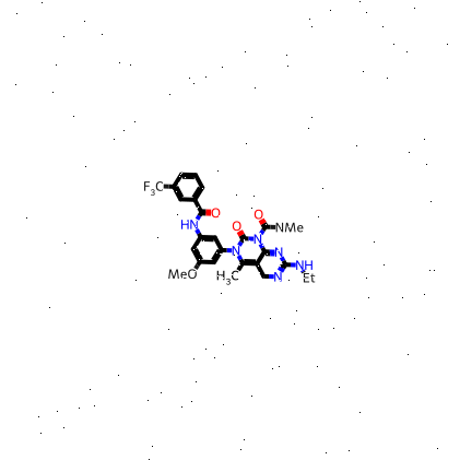 CCNC1=NCC2=C(C)N(c3cc(NC(=O)c4cccc(C(F)(F)F)c4)cc(OC)c3)C(=O)N(C(=O)NC)C2=N1